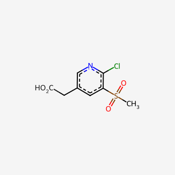 CS(=O)(=O)c1cc(CC(=O)O)cnc1Cl